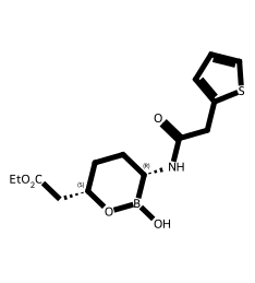 CCOC(=O)C[C@@H]1CC[C@H](NC(=O)Cc2cccs2)B(O)O1